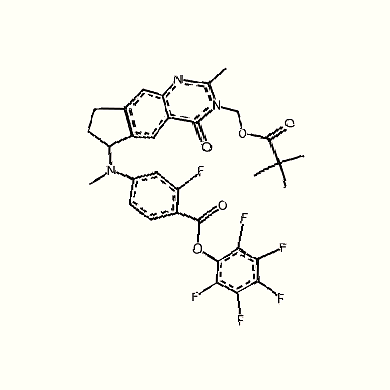 Cc1nc2cc3c(cc2c(=O)n1COC(=O)C(C)(C)C)C(N(C)c1ccc(C(=O)Oc2c(F)c(F)c(F)c(F)c2F)c(F)c1)CC3